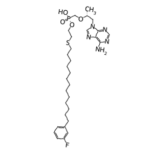 C[C@H](Cn1cnc2c(N)ncnc21)OCP(=O)(O)OCCSCCCCCCCCCCCCCc1cccc(F)c1